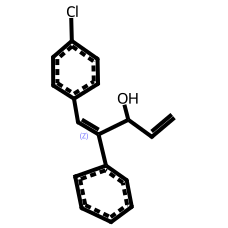 C=CC(O)/C(=C\c1ccc(Cl)cc1)c1ccccc1